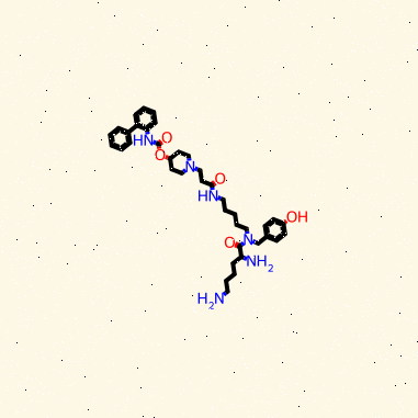 NCCCCC(N)C(=O)N(CCCCCNC(=O)CCN1CCC(OC(=O)Nc2ccccc2-c2ccccc2)CC1)Cc1ccc(O)cc1